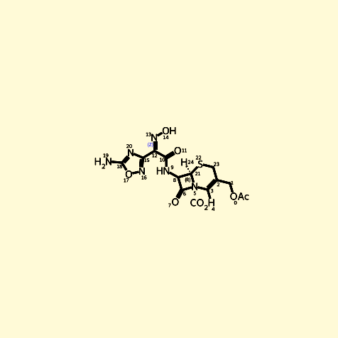 CC(=O)OCC1=C(C(=O)O)N2C(=O)C(NC(=O)/C(=N\O)c3noc(N)n3)[C@H]2SC1